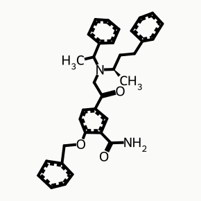 CC(c1ccccc1)N(CC(=O)c1ccc(OCc2ccccc2)c(C(N)=O)c1)[C@H](C)CCc1ccccc1